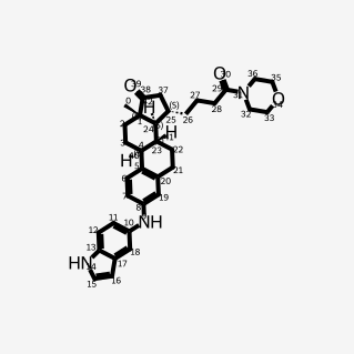 C[C@]12CC[C@@H]3c4ccc(Nc5ccc6[nH]ccc6c5)cc4CC[C@H]3[C@@H]1[C@@H](CCCC(=O)N1CCOCC1)CC2=O